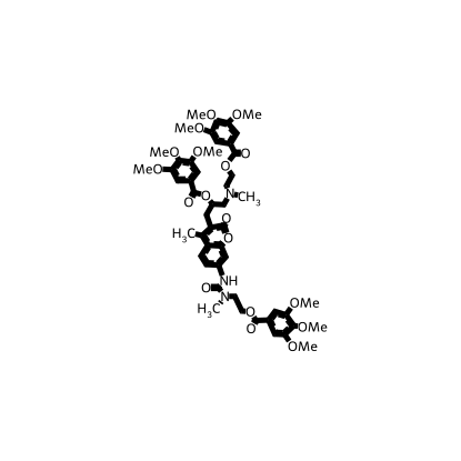 COc1cc(C(=O)OCCN(C)CC(Cc2c(C)c3ccc(NC(=O)N(C)CCOC(=O)c4cc(OC)c(OC)c(OC)c4)cc3oc2=O)OC(=O)c2cc(OC)c(OC)c(OC)c2)cc(OC)c1OC